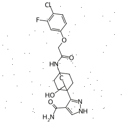 NC(=O)c1c[nH]nc1C12CCC(NC(=O)COc3ccc(Cl)c(F)c3)(CC1)CC2O